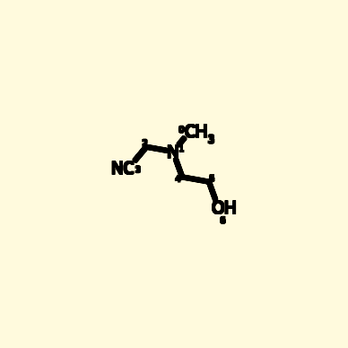 CN(CC#N)CCO